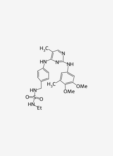 CCNS(=O)(=O)NCc1ccc(Nc2nc(Nc3cc(C)c(OC)c(OC)c3)ncc2C)cc1